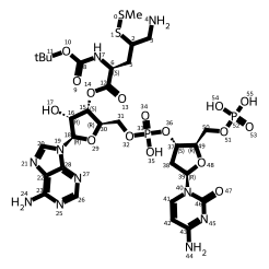 CSSC(CN)C[C@H](NC(=O)OC(C)(C)C)C(=O)O[C@H]1[C@@H](O)[C@H](n2cnc3c(N)ncnc32)O[C@@H]1COP(=O)(O)O[C@H]1C[C@H](n2ccc(N)nc2=O)O[C@@H]1COP(=O)(O)O